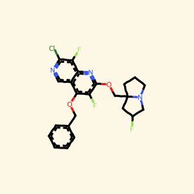 Fc1c(OCC23CCCN2CC(F)C3)nc2c(F)c(Cl)ncc2c1OCc1ccccc1